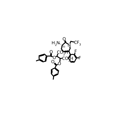 Cc1ccc(C(=O)OC(C(=O)O)C(OC(=O)c2ccc(C)cc2)C(=O)O)cc1.N[C@H]1CC=C(c2cccc(F)c2F)CN(CC(F)(F)F)C1=O